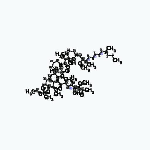 CCC[C@H](C)/C=C/C=C/C=C(\C)[C@H](C[C@@H]1CC[C@@H](C)C(O)(C(=O)C(=O)N2CCC[C@@H]3C(C[C@@H]4CC[C@@H](OP(C)(=O)OCC)C(OC)C4)[C@H](CC(=O)C(C)/C=C(\C)[C@@H](O)[C@@H](OC)C(C)=O)OC(=O)C32)O1)OC